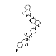 O=C(NCc1ccc(F)cc1Cl)OC1CCN(c2nccc3nc(NCc4ccccc4Cl)ncc23)CC1